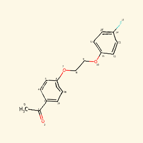 CC(=O)c1ccc(OCCOc2ccc(F)cc2)cc1